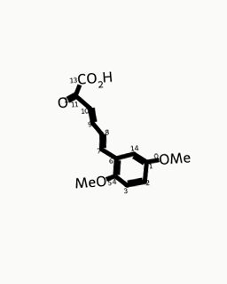 COc1ccc(OC)c(/C=C/C=C/C(=O)C(=O)O)c1